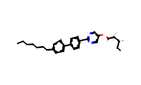 CCCCCCCc1ccc(-c2ccc(-c3ncc(OC(=O)[C@@H](Cl)[C@@H](C)CC)cn3)cc2)cc1